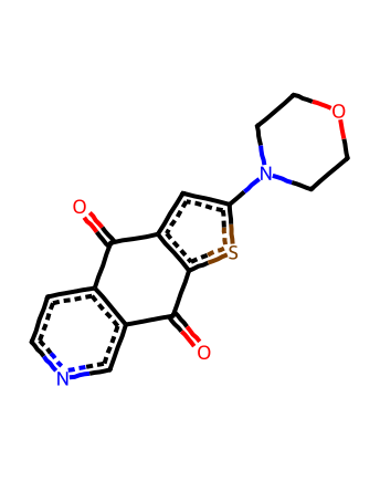 O=C1c2ccncc2C(=O)c2sc(N3CCOCC3)cc21